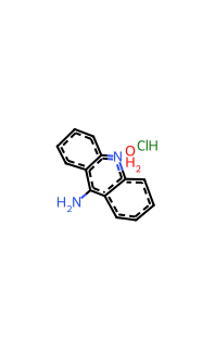 Cl.Nc1c2ccccc2nc2ccccc12.O